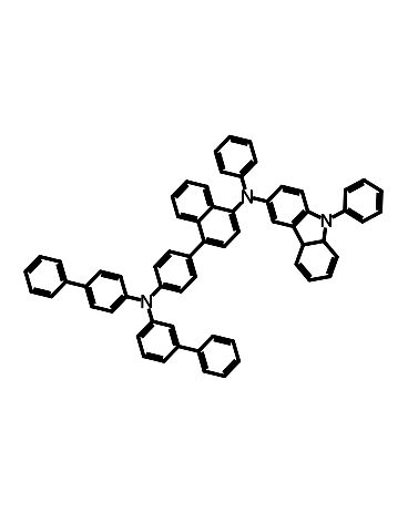 C1=CC2c3cc(N(c4ccccc4)c4ccc(-c5ccc(N(c6ccc(-c7ccccc7)cc6)c6cccc(-c7ccccc7)c6)cc5)c5ccccc45)ccc3N(c3ccccc3)C2C=C1